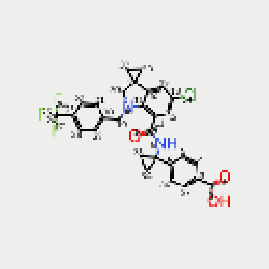 O=C(O)c1ccc(C2(NC(=O)c3cc(Cl)cc4c3N(Cc3ccc(C(F)(F)F)cc3)CC43CC3)CC2)cc1